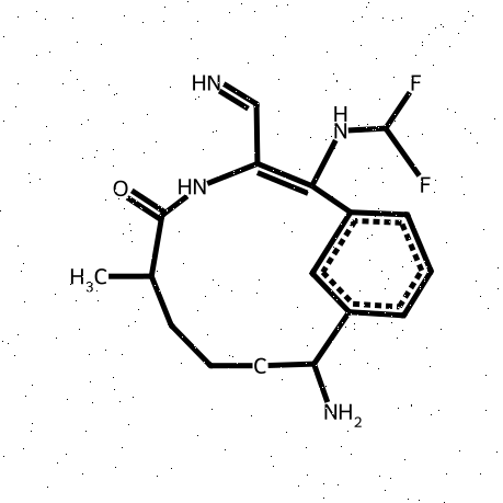 CC1CCCC(N)c2cccc(c2)/C(NC(F)F)=C(/C=N)NC1=O